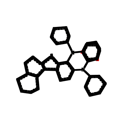 c1ccc(N(c2ccccc2)c2ccc3c(sc4ccc5ccccc5c43)c2N(c2ccccc2)c2ccccc2)cc1